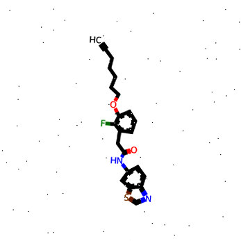 C#CCCCCCOc1cccc(CC(=O)Nc2ccc3ncsc3c2)c1F